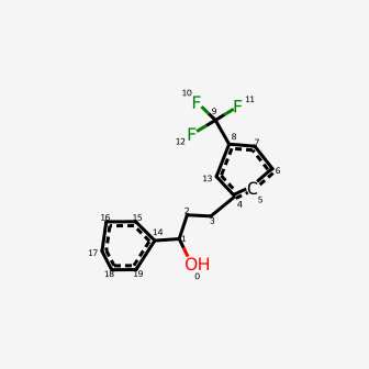 OC(CCc1cccc(C(F)(F)F)c1)c1ccccc1